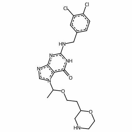 CC(OCCC1CNCCO1)n1cnc2nc(NCc3ccc(Cl)c(Cl)c3)[nH]c(=O)c21